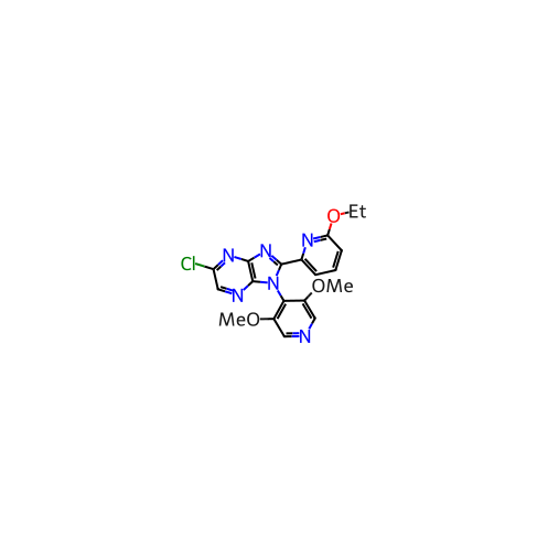 CCOc1cccc(-c2nc3nc(Cl)cnc3n2-c2c(OC)cncc2OC)n1